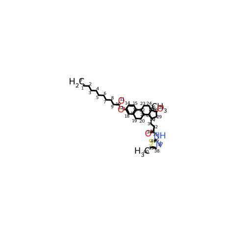 C=CCCCCCCCCC(=O)Oc1ccc2c(c1)CCC1C2CC[C@]2(C)C(=O)C[C@@H](CCC(=O)Nc3ncc(C)s3)C12